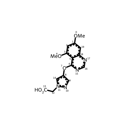 COc1cc(OC)c2c(Oc3cnn(CC(=O)O)c3)ncnc2c1